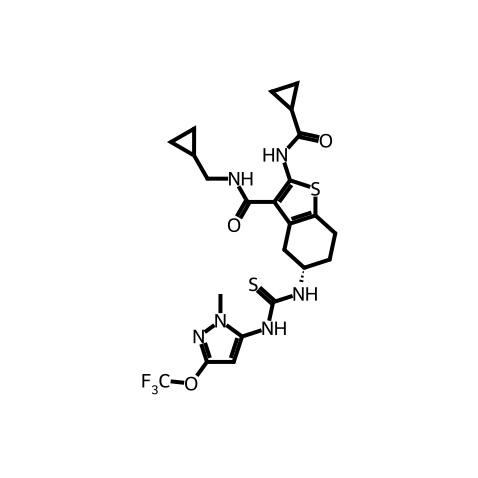 Cn1nc(OC(F)(F)F)cc1NC(=S)N[C@H]1CCc2sc(NC(=O)C3CC3)c(C(=O)NCC3CC3)c2C1